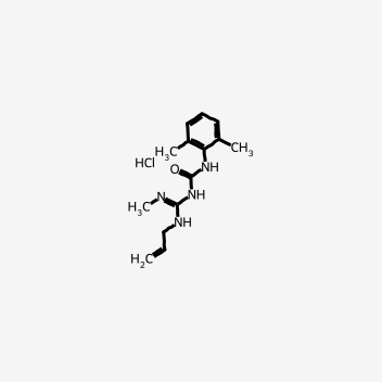 C=CCNC(=NC)NC(=O)Nc1c(C)cccc1C.Cl